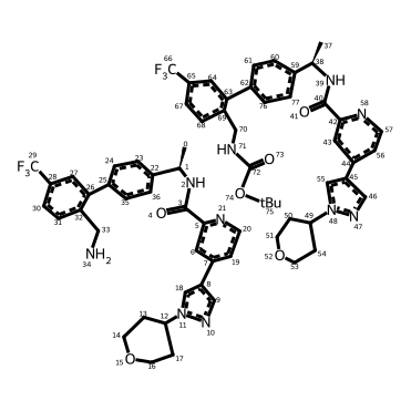 C[C@@H](NC(=O)c1cc(-c2cnn(C3CCOCC3)c2)ccn1)c1ccc(-c2cc(C(F)(F)F)ccc2CN)cc1.C[C@@H](NC(=O)c1cc(-c2cnn(C3CCOCC3)c2)ccn1)c1ccc(-c2cc(C(F)(F)F)ccc2CNC(=O)OC(C)(C)C)cc1